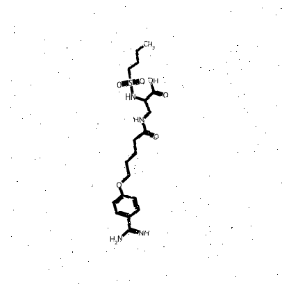 CCCCS(=O)(=O)NC(CNC(=O)CCCCOc1ccc(C(=N)N)cc1)C(=O)O